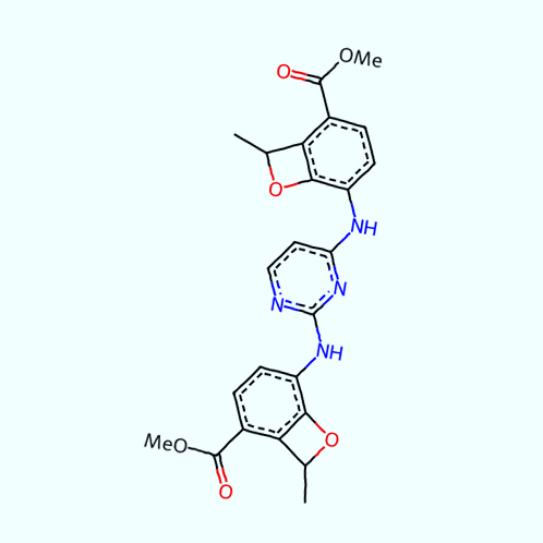 COC(=O)c1ccc(Nc2ccnc(Nc3ccc(C(=O)OC)c4c3OC4C)n2)c2c1C(C)O2